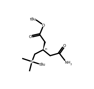 CC(C)(C)OC(=O)C[C@@H](CC(N)=O)CS(C)(C)C(C)(C)C